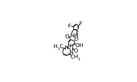 C[C@H]1C=CC[C@H](C)N2CN1C(=O)c1c(O)c(=O)c(C(=O)NCc3c(F)cc(F)cc3F)cn12